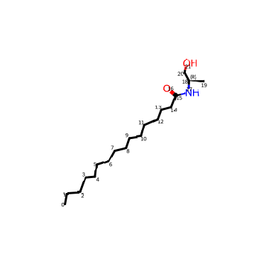 CCCCCCCCCCCCCCCC(=O)N[C@H](C)CO